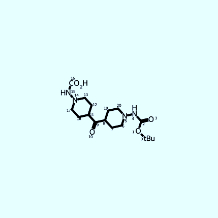 CC(C)(C)OC(=O)NN1CCC(C(=O)C2CCN(NC(=O)O)CC2)CC1